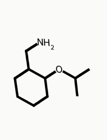 CC(C)OC1CCCCC1CN